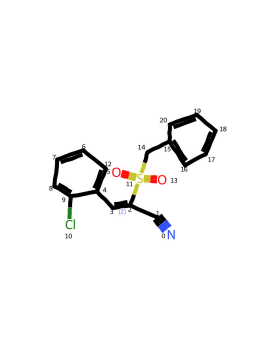 N#C/C(=C/c1ccccc1Cl)S(=O)(=O)Cc1ccccc1